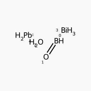 B=O.O.[BiH3].[PbH2]